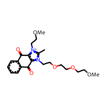 COCCOCCOCCn1c2c([n+](CCOC)c1C)C(=O)c1ccccc1C2=O